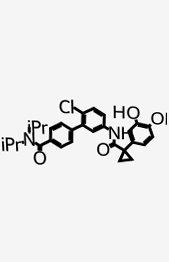 CC(C)N(C(=O)c1ccc(-c2cc(NC(=O)C3(c4ccc(O)c(O)c4)CC3)ccc2Cl)cc1)C(C)C